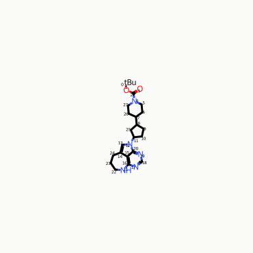 CC(C)(C)OC(=O)N1CCC(C2CCC(n3cc4c5c(ncnc53)NCCC4)C2)CC1